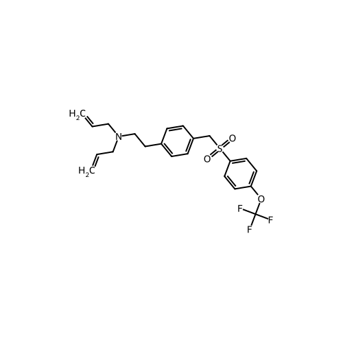 C=CCN(CC=C)CCc1ccc(CS(=O)(=O)c2ccc(OC(F)(F)F)cc2)cc1